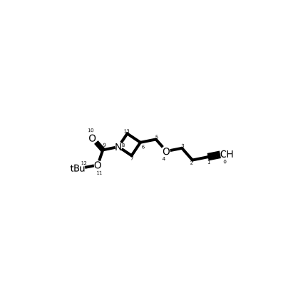 C#CCCOCC1CN(C(=O)OC(C)(C)C)C1